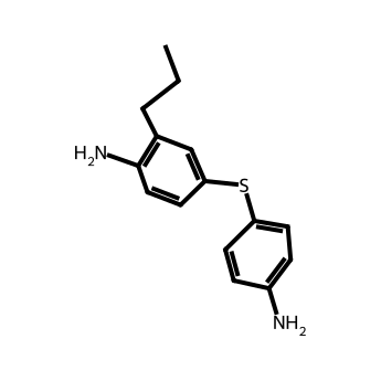 CCCc1cc(Sc2ccc(N)cc2)ccc1N